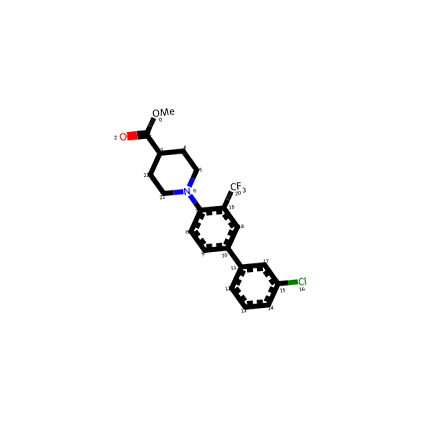 COC(=O)C1CCN(c2ccc(-c3cccc(Cl)c3)cc2C(F)(F)F)CC1